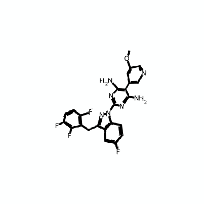 COc1cncc(-c2c(N)nc(-n3nc(Cc4c(F)ccc(F)c4F)c4cc(F)ccc43)nc2N)c1